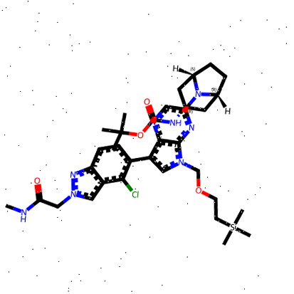 CNC(=O)Cn1cc2c(Cl)c(-c3cn(COCC[Si](C)(C)C)c4nc(N5[C@@H]6CC[C@H]5C[C@@H](NC(=O)OC(C)(C)C)C6)cnc34)ccc2n1